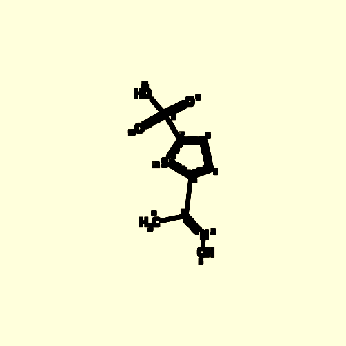 CC(=NO)c1ccc(S(=O)(=O)O)s1